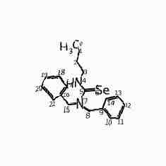 CCCCNC(=[Se])N(Cc1ccccc1)Cc1ccccc1